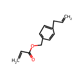 C=CCc1ccc(COC(=O)C=C)cc1